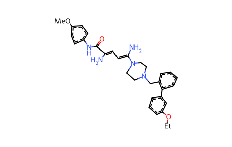 CCOc1cccc(-c2ccccc2CN2CCN(/C(N)=C/C=C(\N)C(=O)Nc3ccc(OC)cc3)CC2)c1